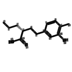 CCC[C@H](CCc1ccc(C)c(O)c1)C(=O)O